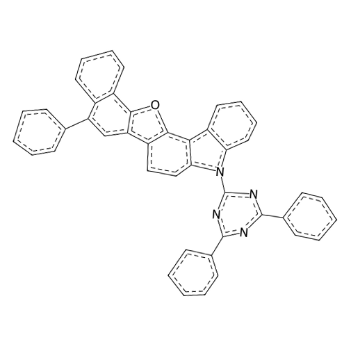 c1ccc(-c2nc(-c3ccccc3)nc(-n3c4ccccc4c4c5oc6c7ccccc7c(-c7ccccc7)cc6c5ccc43)n2)cc1